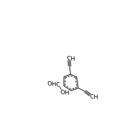 C#Cc1cccc(C#C)c1.O=CO